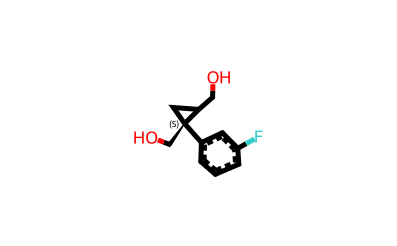 OCC1C[C@@]1(CO)c1cccc(F)c1